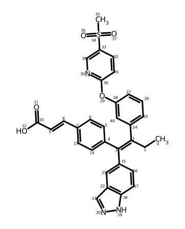 CC/C(=C(/c1ccc(/C=C/C(=O)O)cc1)c1ccc2[nH]ncc2c1)c1cccc(Oc2ccc(S(C)(=O)=O)cn2)c1